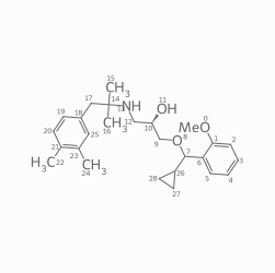 COc1ccccc1C(OC[C@H](O)CNC(C)(C)Cc1ccc(C)c(C)c1)C1CC1